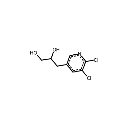 OCC(O)Cc1cnc(Cl)c(Cl)c1